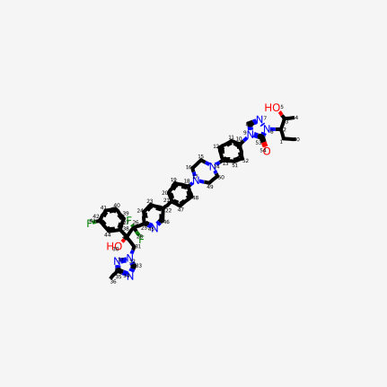 CCC(C(C)O)n1ncn(-c2ccc(N3CCN(c4ccc(-c5ccc(C(F)(F)C(O)(Cn6cnc(C)n6)c6cccc(F)c6)nc5)cc4)CC3)cc2)c1=O